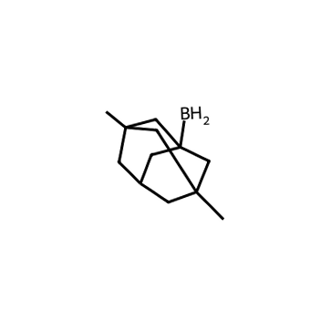 BC12CC3CC(C)(C1)CC(C)(C3)C2